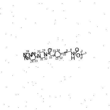 CC(C)(C)OC(=O)NCC#Cc1ccc(CC(=O)N2CCN(c3ccc4nncn4n3)CC2)cc1